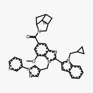 COc1cc(C(=O)N2CC3CC4CC2[C@H]43)cc2nc(-c3cc4ccccc4n3CC3CC3)n(Cc3cnn(-c4cccnc4)c3)c12